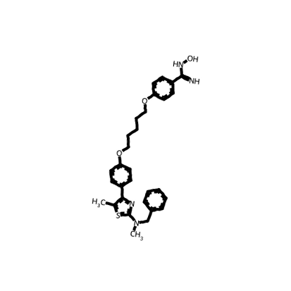 Cc1sc(N(C)Cc2ccccc2)nc1-c1ccc(OCCCCCOc2ccc(C(=N)NO)cc2)cc1